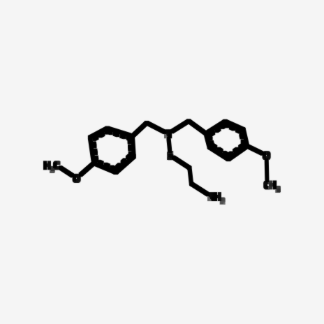 COc1ccc(CN(Cc2ccc(OC)cc2)SCCN)cc1